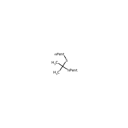 CCCC[CH]SC(C)(C)CCCCC